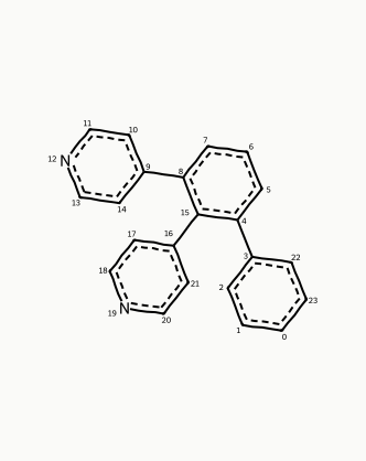 c1ccc(-c2cccc(-c3ccncc3)c2-c2ccncc2)cc1